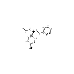 CCCN(CCc1ccccc1)c1ccc(O)cc1